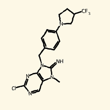 Cn1c(=N)n(Cc2ccc(N3CCC(C(F)(F)F)C3)cc2)c2nc(Cl)ncc21